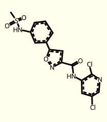 CS(=O)(=O)Nc1cccc(-c2cc(C(=O)Nc3cc(Cl)cnc3Cl)no2)c1